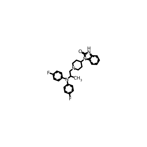 CC(CN1CCC(n2c(=O)[nH]c3ccccc32)CC1)N(c1ccc(F)cc1)c1ccc(F)cc1